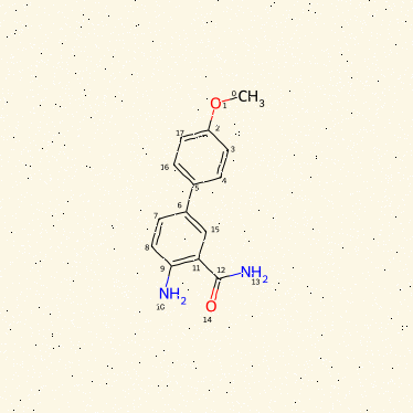 COc1ccc(-c2ccc(N)c(C(N)=O)c2)cc1